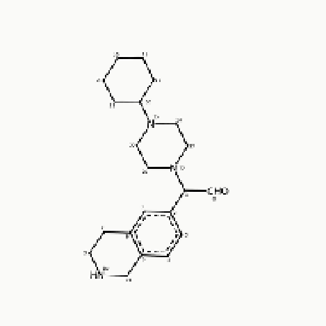 O=CC(c1ccc2c(c1)CCNC2)N1CCN(C2CCCCC2)CC1